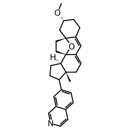 CO[C@@H]1CCC2=CC3=CC[C@]4(C)C(c5ccc6ccncc6c5)CC[C@H]4[C@@]34CC[C@]2(C1)O4